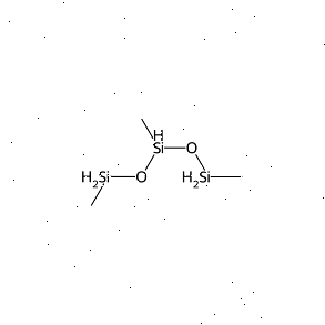 C[SiH2]O[SiH](C)O[SiH2]C